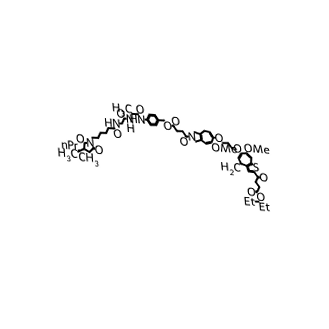 C=C1C=C(OCCCOC2=CCC3=C(C=C2OC)CN(C(=O)CCC(=O)OCc2ccc(NC(=O)[C@H](C)NC(=O)CNC(=O)CCCCCN4C(=O)CC(C(C)(C)CCC)C4=O)cc2)C3)C(OC)=Cc2sc(C(=O)CCC(=O)OC(CC)CC)cc21